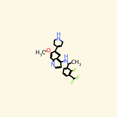 COc1cc2nccc(NC(C)c3cccc(C(F)F)c3F)c2cc1C1=CCNCC1